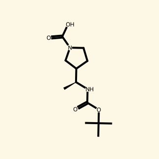 C[C@H](NC(=O)OC(C)(C)C)C1CCN(C(=O)O)C1